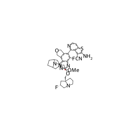 COCCN1CC2CCC(C1)N2c1nc(OC[C@@]23CCCN2C[C@H](F)C3)nc2c(F)c(-c3nccc4sc(N)c(C#N)c34)c3c(c12)COC3